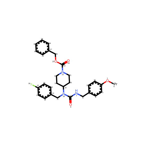 CC(C)Oc1ccc(CNC(=O)N(Cc2ccc(F)cc2)C2CCN(C(=O)OCc3ccccc3)CC2)cc1